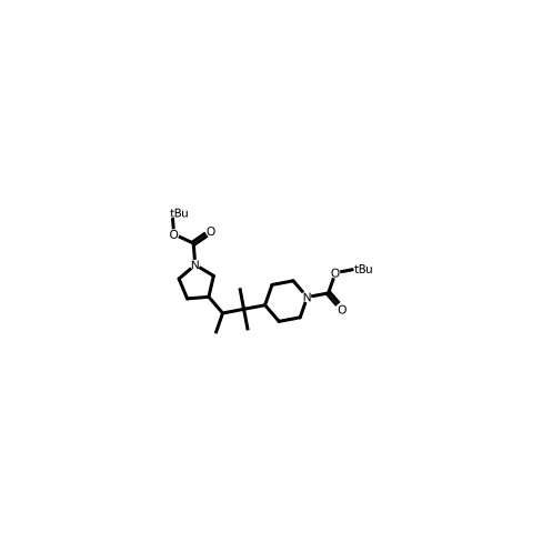 CC(C1CCN(C(=O)OC(C)(C)C)C1)C(C)(C)C1CCN(C(=O)OC(C)(C)C)CC1